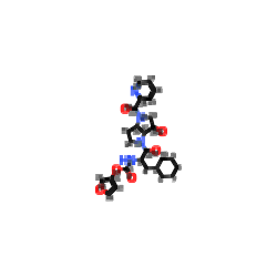 O=C(NC(CC1CCCCC1)C(=O)N1CCC2C1C(=O)CN2C(=O)c1ccccn1)Oc1ccoc1